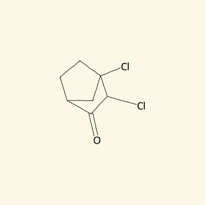 O=C1C2CCC(Cl)(C2)C1Cl